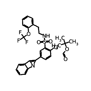 CC(C)(C)OC=O.O=S(=O)(NCCc1ccccc1OC(F)(F)F)c1cc(-c2c3c4ccccc4n2-3)ccc1Cl